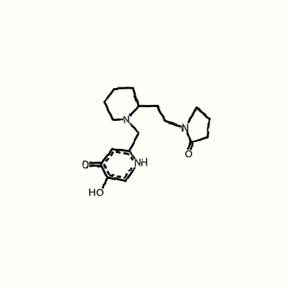 O=C1CCCN1CCC1CCCCN1Cc1cc(=O)c(O)c[nH]1